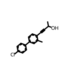 Cc1cc(-c2ccc(Cl)cc2)ccc1C#CC(C)O